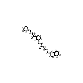 O=C(COc1cccc(C(=O)NCCN2CCOCC2)c1)NCCCN1CCc2ccccc2C1